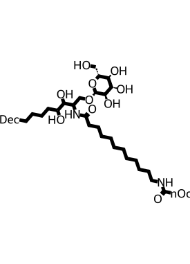 CCCCCCCCCCCCCCC(O)C(O)C(CO[C@H]1O[C@H](CO)[C@H](O)[C@H](O)[C@H]1O)NC(=O)CCCCCCCCCCCNC(=O)CCCCCCCC